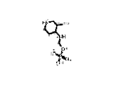 O=P(O)(O)OCNC1CCNCC1F